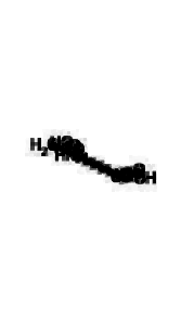 C=CCCC(NC(=O)CCCCCCCCCCOc1ccc(C(=O)O)cc1)C(=O)O